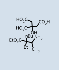 CCCCC(CC)(C(=O)OCC)C(C)N.O=C(O)CC(O)(CC(=O)O)C(=O)O